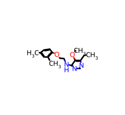 CCc1ncnc(NCCOc2ccc(C)cc2C)c1OC